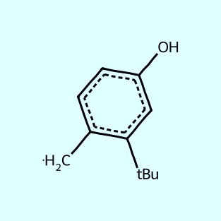 [CH2]c1ccc(O)cc1C(C)(C)C